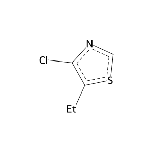 CCc1scnc1Cl